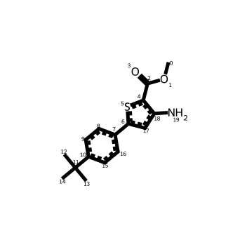 COC(=O)c1sc(-c2ccc(C(C)(C)C)cc2)cc1N